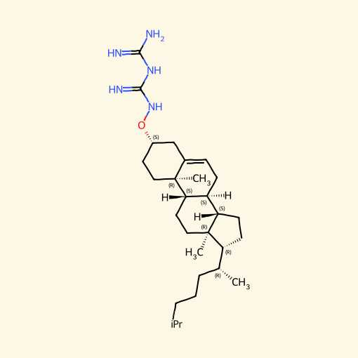 CC(C)CCC[C@@H](C)[C@H]1CC[C@H]2[C@@H]3CC=C4C[C@@H](ONC(=N)NC(=N)N)CC[C@]4(C)[C@H]3CC[C@]12C